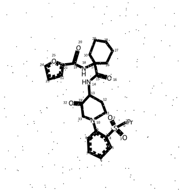 CC(C)S(=O)(=O)c1ccccc1N1CCC(NC(=O)C2(NC(=O)c3ccco3)CCCCC2)C(=O)C1